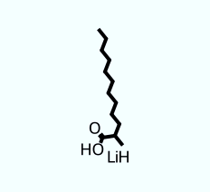 CCCCCCCCCCC(C)C(=O)O.[LiH]